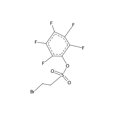 O=S(=O)(CCBr)Oc1c(F)c(F)c(F)c(F)c1F